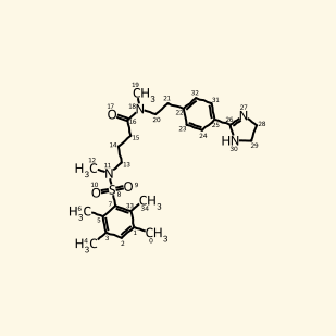 Cc1cc(C)c(C)c(S(=O)(=O)N(C)CCCC(=O)N(C)CCc2ccc(C3=NCCN3)cc2)c1C